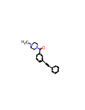 CN1CCN(C(=O)c2cccc(C#Cc3ccccc3)c2)CC1